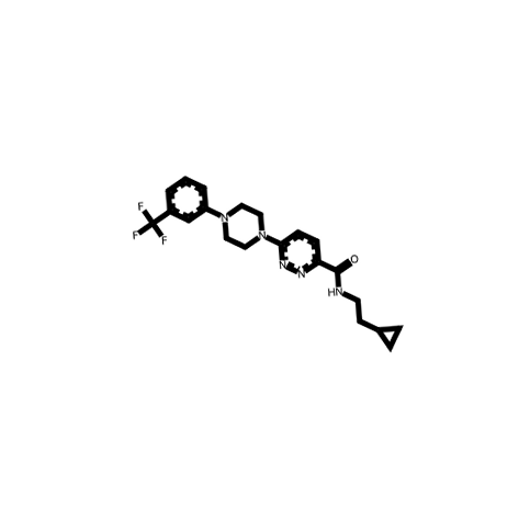 O=C(NCCC1CC1)c1ccc(N2CCN(c3cccc(C(F)(F)F)c3)CC2)nn1